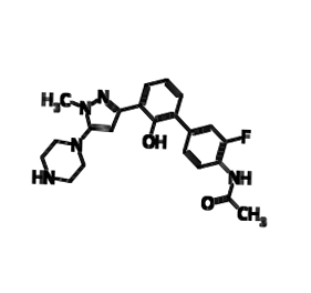 CC(=O)Nc1ccc(-c2cccc(-c3cc(N4CCNCC4)n(C)n3)c2O)cc1F